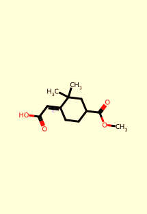 COC(=O)C1CC/C(=C\C(=O)O)C(C)(C)C1